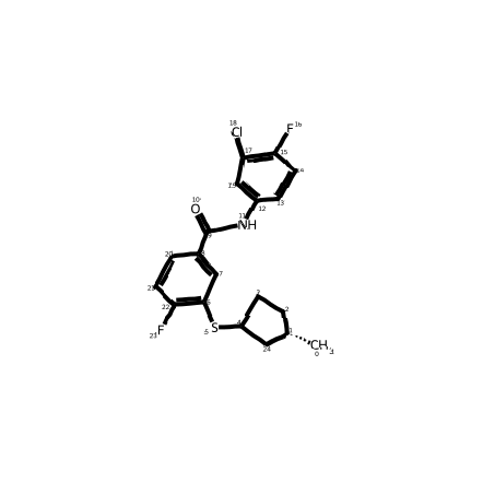 C[C@H]1CCC(Sc2cc(C(=O)Nc3ccc(F)c(Cl)c3)ccc2F)C1